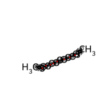 Cc1ccc(SOCCOCCOCCOCCOCCOCCOCCOCCOSc2ccc(C)cc2)cc1